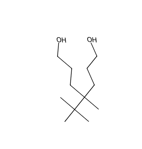 CC(C)(C)C(C)(CCCO)CCCO